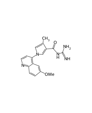 COc1ccc2nccc(-n3cc(C)c(C(=O)NC(=N)N)c3)c2c1